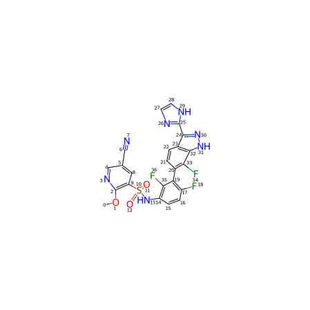 COc1ncc(C#N)cc1S(=O)(=O)Nc1ccc(F)c(-c2ccc3c(-c4ncc[nH]4)n[nH]c3c2F)c1F